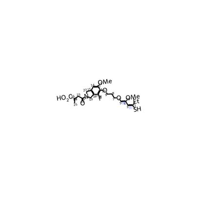 CC/C(S)=C\C(=C\OCCCOc1c(OC)cc2c(c1F)CN(C(=O)C[C@H](C)C(=O)O)C2)OC